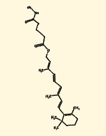 CCCNC(=O)CCCC(=O)OC/C=C(C)/C=C/C=C(C)/C=C/C1=C(C)CCCC1(C)C